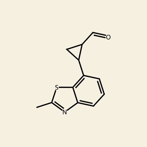 Cc1nc2cccc(C3CC3C=O)c2s1